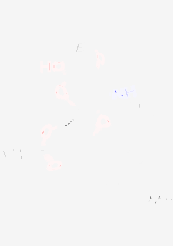 CCO[C@H]1[C@H](NS(=O)(=O)O)[C@H](OCc2ccc(OC)cc2)[C@@H](COC(=O)C(C)(C)C)O[C@@H]1O